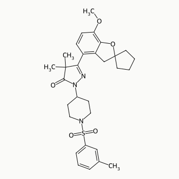 COc1ccc(C2=NN(C3CCN(S(=O)(=O)c4cccc(C)c4)CC3)C(=O)C2(C)C)c2c1OC1(CCCC1)C2